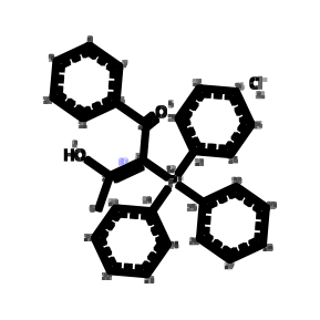 C/C(O)=C(/C(=O)c1ccccc1)[P+](c1ccccc1)(c1ccccc1)c1ccccc1.[Cl-]